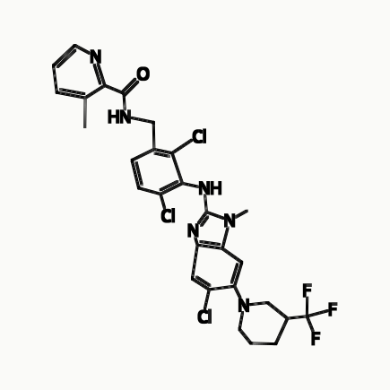 Cc1cccnc1C(=O)NCc1ccc(Cl)c(Nc2nc3cc(Cl)c(N4CCCC(C(F)(F)F)C4)cc3n2C)c1Cl